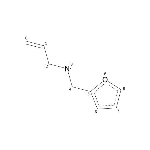 C=CC[N]Cc1ccco1